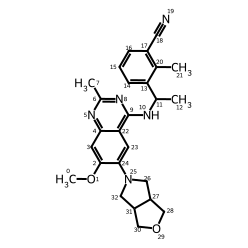 COc1cc2nc(C)nc(NC(C)c3cccc(C#N)c3C)c2cc1N1CC2COCC2C1